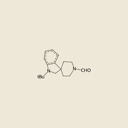 CC(C)(C)N1CC2(CCN(C=O)CC2)c2ccccc21